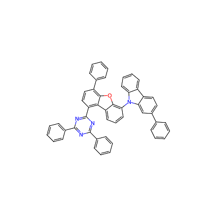 c1ccc(-c2ccc3c4ccccc4n(-c4cccc5c4oc4c(-c6ccccc6)ccc(-c6nc(-c7ccccc7)nc(-c7ccccc7)n6)c45)c3c2)cc1